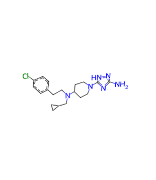 Nc1n[nH]c(N2CCC(N(CCc3ccc(Cl)cc3)CC3CC3)CC2)n1